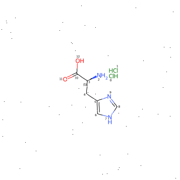 Cl.Cl.N[C@@H](Cc1c[nH]cn1)C(=O)O